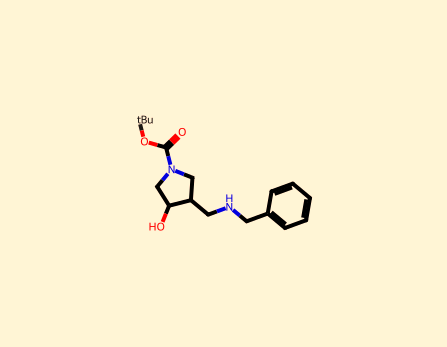 CC(C)(C)OC(=O)N1CC(O)C(CNCc2ccccc2)C1